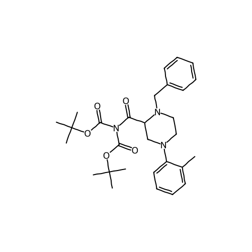 Cc1ccccc1N1CCN(Cc2ccccc2)C(C(=O)N(C(=O)OC(C)(C)C)C(=O)OC(C)(C)C)C1